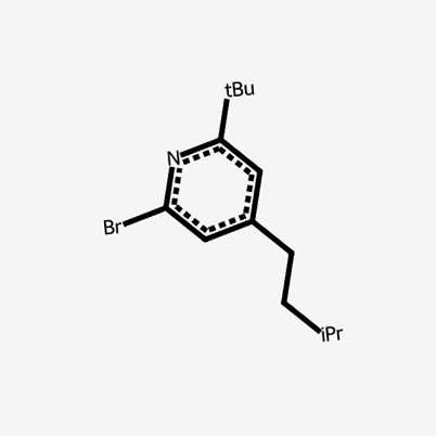 CC(C)CCc1cc(Br)nc(C(C)(C)C)c1